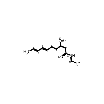 CC=CC=CCCC(CC(=O)NCC(C)C)OC(C)=O